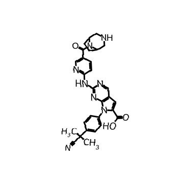 CC(C)(C#N)c1ccc(-n2c(C(=O)O)cc3cnc(Nc4ccc(C(=O)N5C6CCC5CNC6)cn4)nc32)cc1